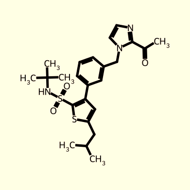 CC(=O)c1nccn1Cc1cccc(-c2cc(CC(C)C)sc2S(=O)(=O)NC(C)(C)C)c1